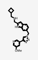 COc1cncc(-c2cn(Cc3ccc4cc(CNCC5CCC5)[nH]c4c3)nn2)c1